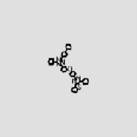 c1ccc(-c2ccc(-c3nc(-c4ccccc4)nc(-c4cccc(Oc5ccc(-c6nc(-c7ccccc7)c7sc8ccccc8c7n6)cc5)c4)n3)cc2)cc1